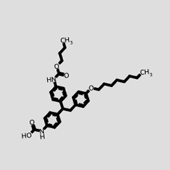 CCCCCCCCOc1ccc(CC(c2ccc(NC(=O)O)cc2)c2ccc(NC(=O)OCCCC)cc2)cc1